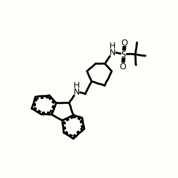 CC(C)(C)S(=O)(=O)NC1CCC(CNC2c3ccccc3-c3ccccc32)CC1